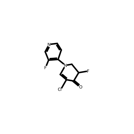 O=C1C(Cl)=CN(c2ccncc2F)CC1F